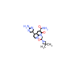 CC1(C)CN(C(=O)Cn2c(=O)c(C(N)=O)cc3c(-c4cnc(N)nc4)ccnc32)C1